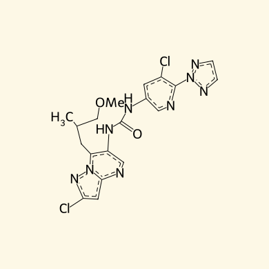 COCC(C)Cc1c(NC(=O)Nc2cnc(-n3nccn3)c(Cl)c2)cnc2cc(Cl)nn12